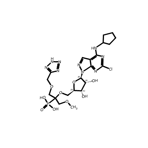 COCC(COCc1nn[nH]n1)(OC[C@H]1O[C@@H](n2ncc3c(NC4CCCC4)nc(Cl)nc32)[C@H](O)[C@@H]1O)P(=O)(O)O